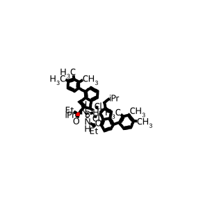 CCC(=O)N[B](NC(=O)CC)[Hf]([Cl])([Cl])([CH]1C(CC(C)C)=Cc2c(-c3ccc(C)c(C)c3C)cccc21)[CH]1C(CC(C)C)=Cc2c(-c3ccc(C)c(C)c3C)cccc21